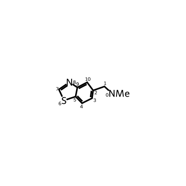 CNCc1ccc2scnc2c1